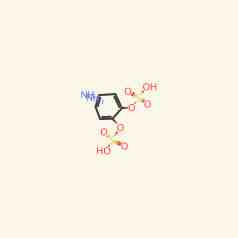 N.N.O=S(=O)(O)Oc1ccccc1OS(=O)(=O)O